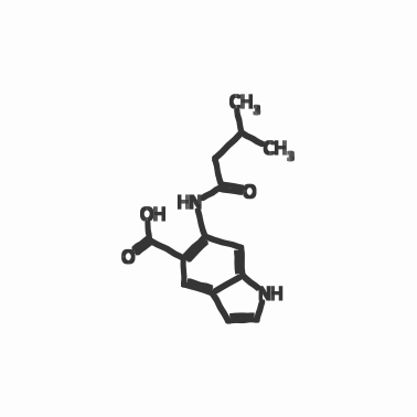 CC(C)CC(=O)Nc1cc2[nH]ccc2cc1C(=O)O